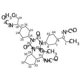 CCC(N=C=O)C1CCC(n2c(=O)n(C3CCC(C(CC)N=C=O)CC3)c(=O)n(C3CCCCC3C(CC)N=C=O)c2=O)CC1